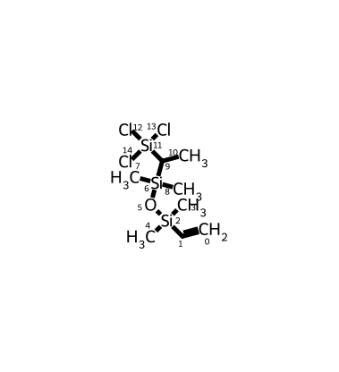 C=C[Si](C)(C)O[Si](C)(C)C(C)[Si](Cl)(Cl)Cl